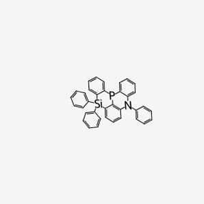 c1ccc(N2c3ccccc3P3c4ccccc4[Si](c4ccccc4)(c4ccccc4)c4cccc2c43)cc1